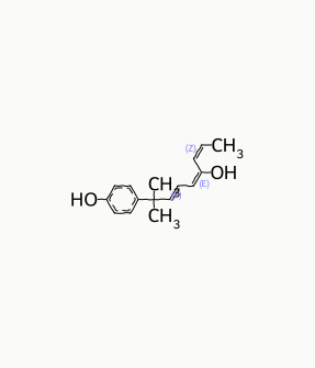 C\C=C/C(O)=C\C=C\C(C)(C)c1ccc(O)cc1